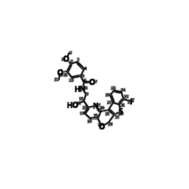 COc1ccc(C(=O)NCC(O)c2ccc3c(n2)-c2c(sc4c(F)cccc24)CO3)cc1OC